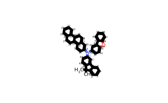 CC1(C)c2ccccc2-c2cc(N(c3ccc4c(ccc5c6ccccc6ccc45)c3)c3ccc4oc5ccccc5c4c3)ccc21